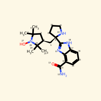 CC1(C)C[C@@H](C[C@@]2(c3nc4c(C(N)=O)cccc4[nH]3)CCCN2)C(C)(C)N1O